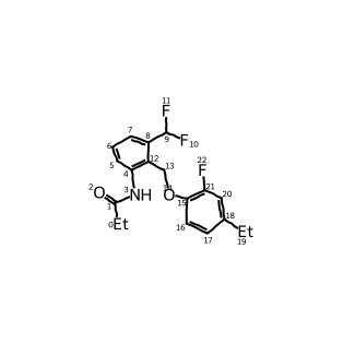 CCC(=O)Nc1cccc(C(F)F)c1COc1ccc(CC)cc1F